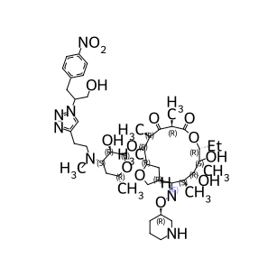 CC[C@H]1OC(=O)[C@H](C)C(=O)[C@H](C)[C@@H](O[C@@H]2O[C@H](C)C[C@H](N(C)CCc3cn(C(CO)Cc4ccc([N+](=O)[O-])cc4)nn3)[C@H]2O)[C@@]2(C)C[C@@H](CO2)/C(=N\O[C@@H]2CCCNC2)[C@H](C)[C@@H](O)[C@]1(C)O